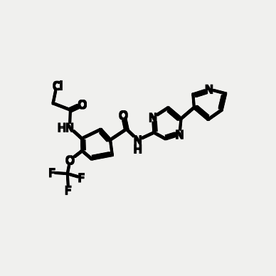 O=C(CCl)Nc1cc(C(=O)Nc2cnc(-c3cccnc3)cn2)ccc1OC(F)(F)F